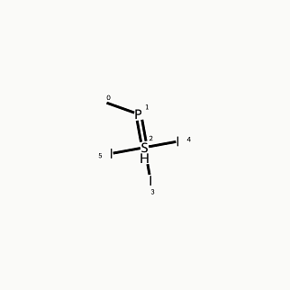 CP=[SH](I)(I)I